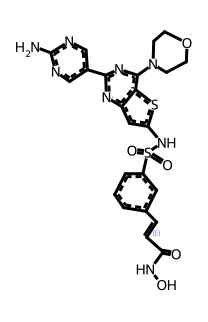 Nc1ncc(-c2nc(N3CCOCC3)c3sc(NS(=O)(=O)c4cccc(/C=C/C(=O)NO)c4)cc3n2)cn1